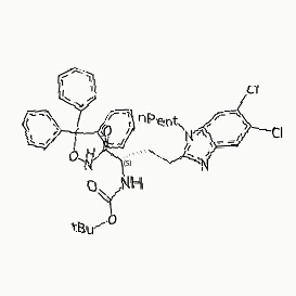 CCCCCn1c(CC[C@H](NC(=O)OC(C)(C)C)C(=O)NOC(c2ccccc2)(c2ccccc2)c2ccccc2)nc2cc(Cl)c(Cl)cc21